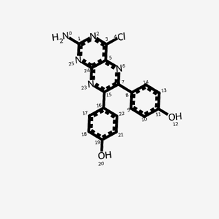 Nc1nc(Cl)c2nc(-c3ccc(O)cc3)c(-c3ccc(O)cc3)nc2n1